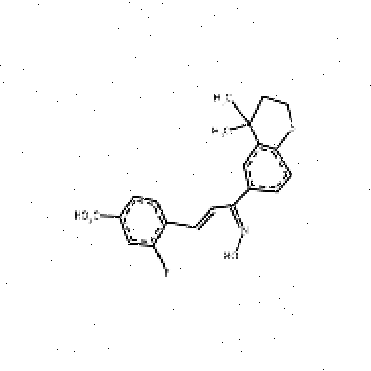 CC1(C)CCSc2ccc(C(C=Cc3ccc(C(=O)O)cc3F)=NO)cc21